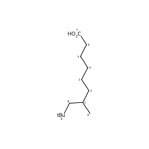 CC(CCCCCC(=O)O)CC(C)(C)C